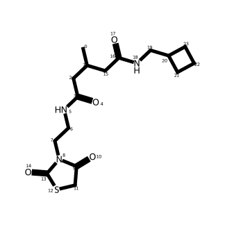 CC(CC(=O)NCCN1C(=O)CSC1=O)CC(=O)NCC1CCC1